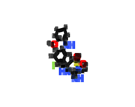 COc1ccccc1Nc1ccc(F)c([C@]2(C)CS(=O)(=O)N(C)C(=N)N2)c1